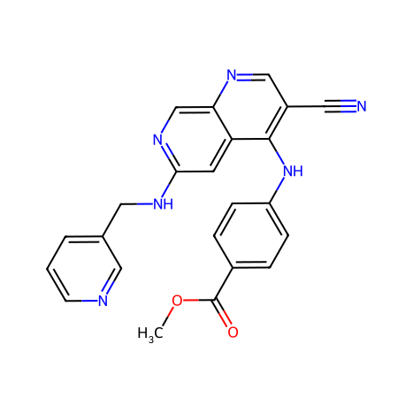 COC(=O)c1ccc(Nc2c(C#N)cnc3cnc(NCc4cccnc4)cc23)cc1